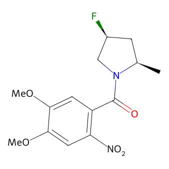 COc1cc(C(=O)N2C[C@@H](F)C[C@H]2C)c([N+](=O)[O-])cc1OC